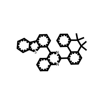 CC1(C)c2ccccc2-c2c(-c3nc(-c4cccc5c4sc4ccccc45)c4ccccc4n3)cccc2C1(C)C